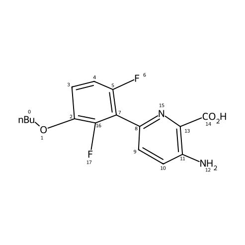 CCCCOc1ccc(F)c(-c2ccc(N)c(C(=O)O)n2)c1F